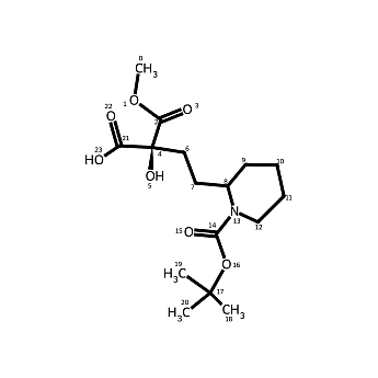 COC(=O)[C@](O)(CCC1CCCCN1C(=O)OC(C)(C)C)C(=O)O